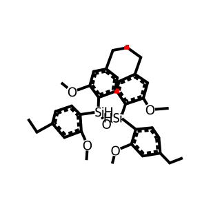 CCc1ccc([SiH](O[SiH](c2ccc(CC)cc2OC)c2ccc(CC)cc2OC)c2ccc(CC)cc2OC)c(OC)c1